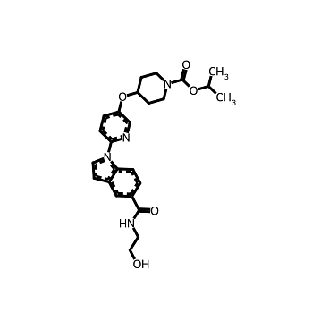 CC(C)OC(=O)N1CCC(Oc2ccc(-n3ccc4cc(C(=O)NCCO)ccc43)nc2)CC1